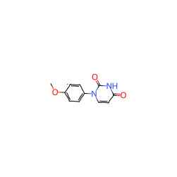 COc1[c]cc(-n2ccc(=O)[nH]c2=O)cc1